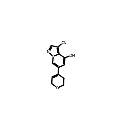 N#Cc1cnn2cc(C3=CCOCC3)cc(O)c12